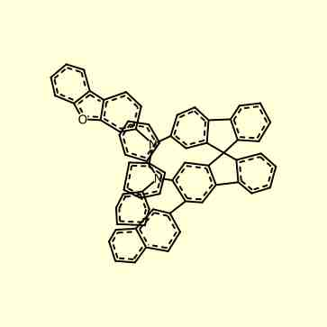 c1ccc(N(c2ccc3c(c2)C2(c4ccccc4-3)c3ccccc3-c3cc(-c4ccc5ccccc5c4)c(N(c4ccccc4)c4ccccc4)cc32)c2ccc3c(c2)oc2ccccc23)cc1